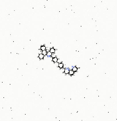 C1=Cc2c(c3nc(-c4ccc(-c5ccc(-c6ccc7ccc8cccnc8c7n6)cc5)cc4)c4ccccc4c3c3ccccc23)CC1